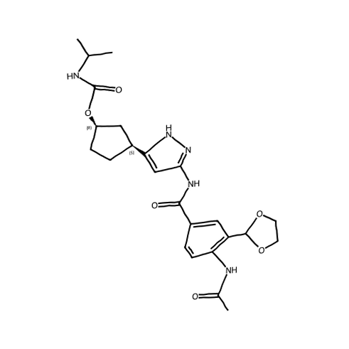 CC(=O)Nc1ccc(C(=O)Nc2cc([C@H]3CC[C@@H](OC(=O)NC(C)C)C3)[nH]n2)cc1C1OCCO1